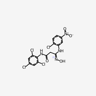 O=C(C/C(=N/O)Nc1cc([N+](=O)[O-])ccc1Cl)Nc1c(Cl)cc(Cl)cc1Cl